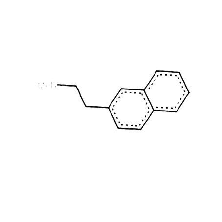 [CH2-][NH2+]CCc1ccc2ccccc2c1